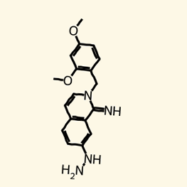 COc1ccc(Cn2ccc3ccc(NN)cc3c2=N)c(OC)c1